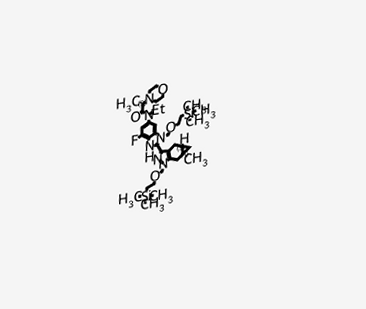 CCN(C(=O)[C@H](C)N1CCOCC1)c1cc(F)c2[nH]c(-c3nn(COCC[Si](C)(C)C)c4c3C[C@@H]3C[C@]3(C)C4)[n+](COCC[Si](C)(C)C)c2c1